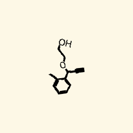 C#CC(OCCO)c1ccccc1C